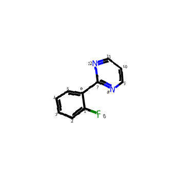 Fc1ccccc1-c1ncccn1